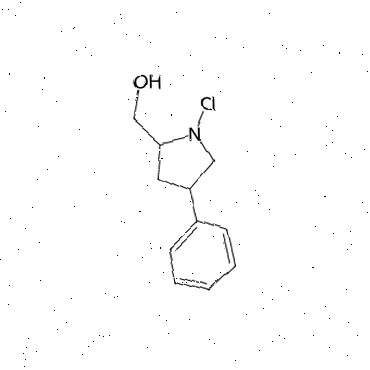 OCC1CC(c2ccccc2)CN1Cl